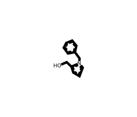 OCc1cccn1Cc1ccccc1